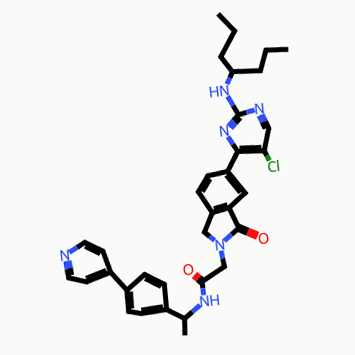 CCCC(CCC)Nc1ncc(Cl)c(-c2ccc3c(c2)C(=O)N(CC(=O)NC(C)c2ccc(-c4ccncc4)cc2)C3)n1